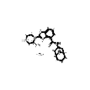 CC(C)[C@H]1CNCCN1c1nc2c(C(=O)NC3CC4CCCC(C3)N4C)cccc2o1.Cl